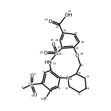 CS(=O)(=O)c1cc2c(cc1F)N1CCCCC1COc1ccc(C(=O)O)cc1S(=O)(=O)N2